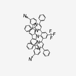 N#Cc1cccc(-c2ccc3c4ccc(-c5cccc(C#N)c5)cc4n(-c4c(-c5cc(-c6ccccc6)nc(-c6ccccc6)n5)cc(C(F)(F)F)cc4-c4cc(-c5ccccc5)nc(-c5ccccc5)n4)c3c2)c1